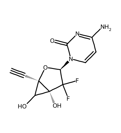 C#C[C@]12O[C@@H](n3ccc(N)nc3=O)C(F)(F)[C@@]1(O)C2O